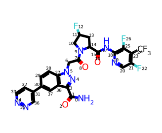 NC(=O)c1nn(CC(=O)N2CC(F)CC2C(=O)Nc2ncc(F)c(C(F)(F)F)c2F)c2ccc(-c3ccnnc3)cc12